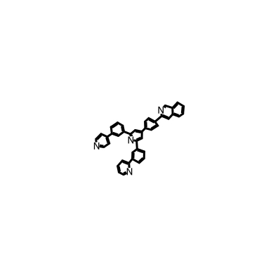 c1ccc(-c2cccc(-c3cc(-c4ccc(-c5cc6ccccc6cn5)cc4)cc(-c4cccc(-c5ccncc5)c4)n3)c2)nc1